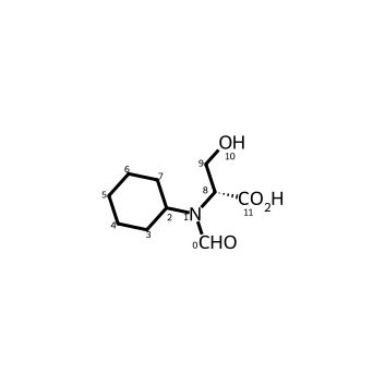 O=CN(C1CCCCC1)[C@H](CO)C(=O)O